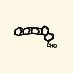 O=Cc1ccc2ccc3c(c2c1)C1CC3C2C3CC(C4C5C=CC(C5)C34)C12